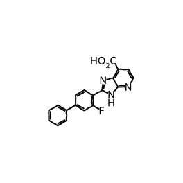 O=C(O)c1ccnc2[nH]c(-c3ccc(-c4ccccc4)cc3F)nc12